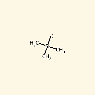 [C][Si](C)(C)C